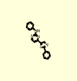 c1ccc(Nc2nccc(-c3cnc(-c4ccccc4)s3)n2)cc1